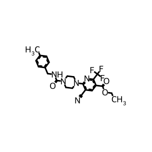 CCOC(=O)c1cc(C#N)c(N2CCN(C(=O)NCc3ccc(C)cc3)CC2)nc1C(F)(F)F